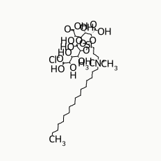 CCCCCCCCCCCCCCCCC[N+](C)(C)CCC[Si@@]1(O[C@H](C(=O)O)[C@H](O)[C@H](O)[C@@H](O)C(=O)O)O[C@@H]([C@H](O)C(=O)O)[C@H](O)[C@H](C(=O)O)O1.[Cl-]